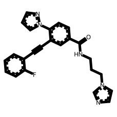 O=C(NCCCn1ccnc1)c1ccc(-n2cccn2)c(C#Cc2ccccc2F)c1